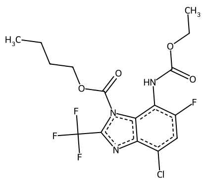 CCCCOC(=O)n1c(C(F)(F)F)nc2c(Cl)cc(F)c(NC(=O)OCC)c21